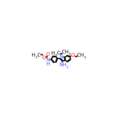 CCOC(=O)Nc1ccc(-c2c(N)c3ccc(OCC)cc3n2C(C)C)cc1